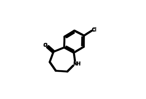 O=C1CCCNc2cc(Cl)ccc21